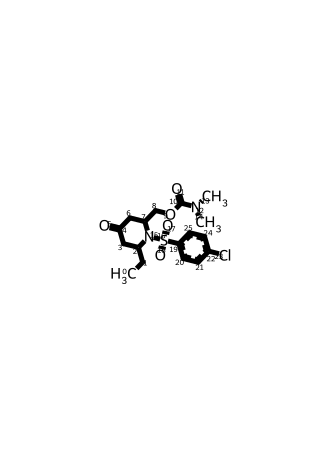 CCC1CC(=O)CC(COC(=O)N(C)C)N1S(=O)(=O)c1ccc(Cl)cc1